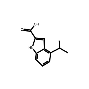 CC(C)c1cccc2[nH]c(C(=O)O)cc12